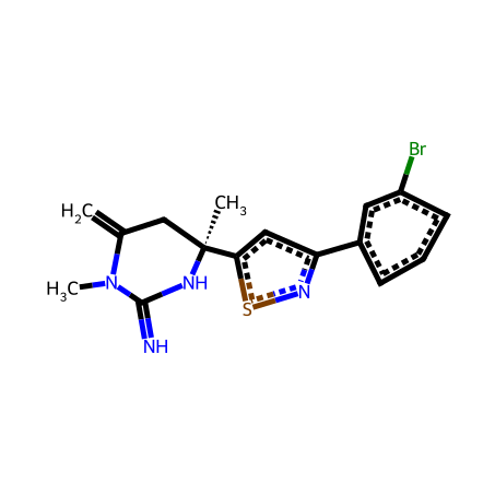 C=C1C[C@@](C)(c2cc(-c3cccc(Br)c3)ns2)NC(=N)N1C